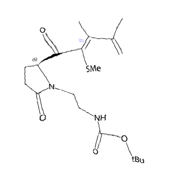 C=C(C)/C(C)=C(\SC)C(=O)[C@@H]1CCC(=O)N1CCNC(=O)OC(C)(C)C